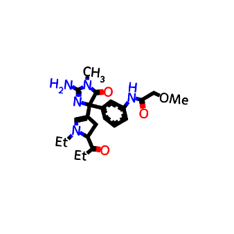 CCC(=O)C1CC(C2(c3cccc(NC(=O)COC)c3)N=C(N)N(C)C2=O)=CN1CC